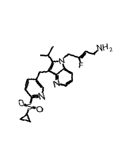 CC(C)c1c(Cc2ccc(S(=O)(=O)C3CC3)nc2)c2ncccc2n1C/C(F)=C/CN